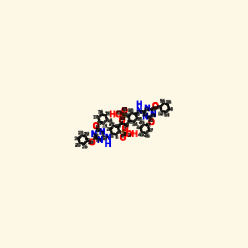 O=S(=O)(O)c1cc(Nc2nc(Oc3ccccc3)nc(Oc3ccccc3)n2)ccc1C=Cc1ccc(Nc2nc(Oc3ccccc3)nc(Oc3ccccc3)n2)cc1S(=O)(=O)O